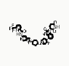 Cn1c(=O)n(C2CCC(=O)NC2=O)c2cccc([C@H]3CCN(C[C@H]4CC[C@H](n5cc6cc(NC(=O)c7cccc(C(F)(F)F)n7)ncc6n5)CC4)C[C@@H]3F)c21